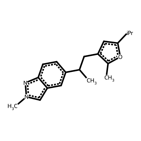 Cc1oc(C(C)C)cc1CC(C)c1ccc2nn(C)cc2c1